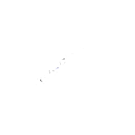 CCCCCCCCOc1ccc(/C=C/C(=O)O[C@H]2CC[C@H](OC(=O)C(C)CC)CC2)cc1